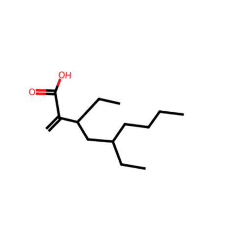 C=C(C(=O)O)C(CC)CC(CC)CCCC